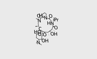 CC(C)[C@@H]1NC(=O)[C@H](C)[C@@H](O)[C@H](C)[C@@H](O[C@@H]2O[C@H](C)C[C@H](N(C)C)[C@H]2O)[C@](C)(O)C[C@@H](C)CN(C)C(=O)[C@@H]2CCCN2C1=O